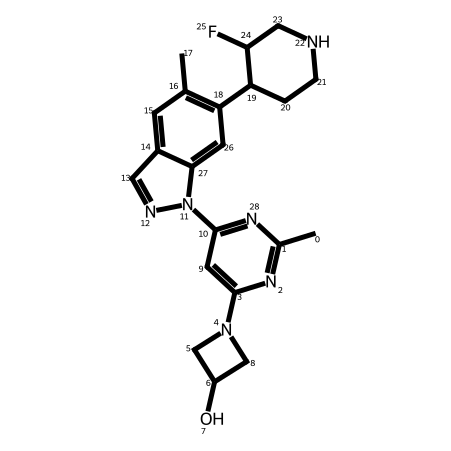 Cc1nc(N2CC(O)C2)cc(-n2ncc3cc(C)c(C4CCNCC4F)cc32)n1